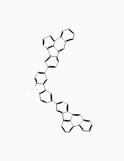 c1ccc2c(c1)cc1c3c(cccc32)-c2cc(-c3ccc4oc5ccc(-c6ccc7c(c6)-c6cccc8c6c-7cc6ccccc68)cc5c4c3)ccc2-1